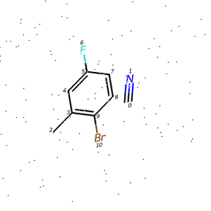 C#N.Cc1cc(F)ccc1Br